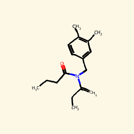 C=C(CC)N(Cc1ccc(C)c(C)c1)C(=O)CCC